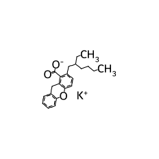 CCCCC(CC)Cc1ccc2c(c1C(=O)[O-])Cc1ccccc1O2.[K+]